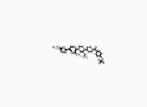 CC[C@H]1CN(c2ncc(-c3nnc(C)o3)nc2C)CCN1C1CCN(C(=O)c2ccc(OC(F)(F)F)cc2)CC1